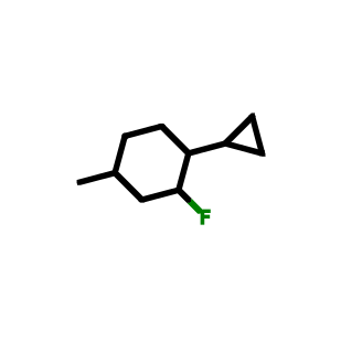 CC1CCC(C2CC2)C(F)C1